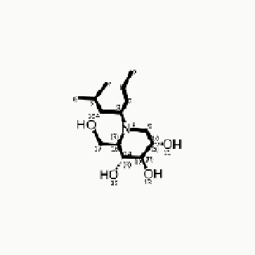 CCCC(CC(C)C)N1C[C@H](O)[C@@H](O)[C@H](O)[C@H]1CO